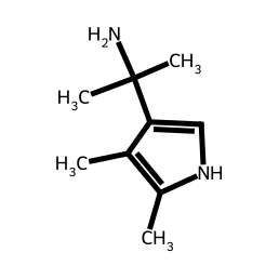 Cc1[nH]cc(C(C)(C)N)c1C